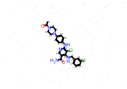 CC(=O)N1CCN(c2ccc(Nc3ncc(C(N)=O)c(NCc4cccc(F)c4)c3Cl)cc2)CC1